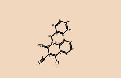 N#Cc1c(Cl)c2ccccc2n(Cc2ccccc2)c1=O